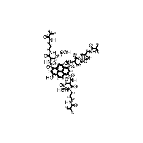 C=C(C)C(=O)NCCCNC(=O)C(CSOOO)NS(=O)(=O)c1cc(O)c2ccc3c(S(=O)(=O)NC(CS(=O)(=O)O)C(=O)NCCCNC(=O)C(=C)C)cc(S(=O)(=O)NC(CSOOO)C(=O)NCCCNC(=O)C(=C)C)c4ccc1c2c43